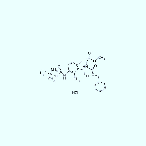 COC(=O)[C@@H](Cc1ccc(NC(=O)OC(C)(C)C)c(C)c1CO)NC(=O)OCc1ccccc1.Cl